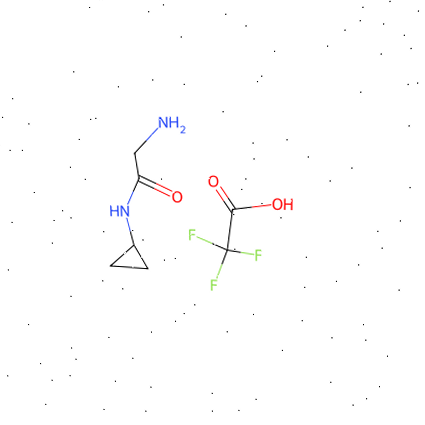 NCC(=O)NC1CC1.O=C(O)C(F)(F)F